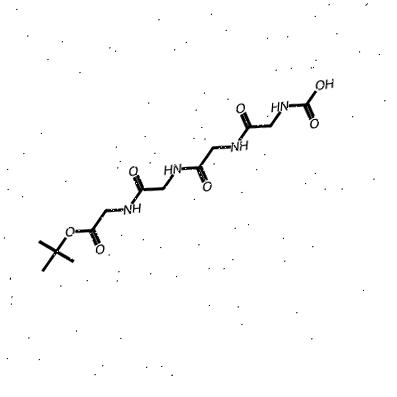 CC(C)(C)OC(=O)CNC(=O)CNC(=O)CNC(=O)CNC(=O)O